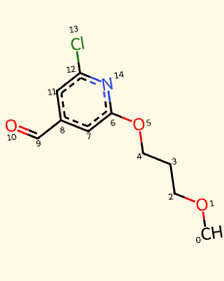 COCCCOc1cc(C=O)cc(Cl)n1